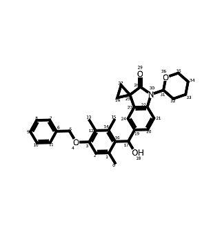 Cc1cc(OCc2ccccc2)c(C)c(C)c1C(O)c1ccc2c(c1)C1(CC1)C(=O)N2C1CCCCO1